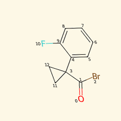 O=C(Br)C1(c2ccccc2F)CC1